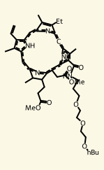 C=Cc1c(C)c2cc3nc(c(CC(=O)OC)c4[nH]c(cc5nc(cc1[nH]2)C(C)=C5CC)c(C)c4C(=O)NCCCOCCOCCOCCCC)C(CCC(=O)OC)C3C